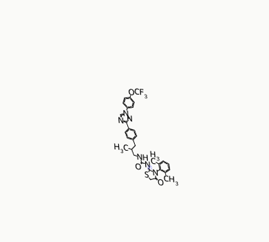 Cc1cccc(C)c1N1C(=O)CS/C1=N\C(=O)NCC(C)Cc1ccc(-c2ncn(-c3ccc(OC(F)(F)F)cc3)n2)cc1